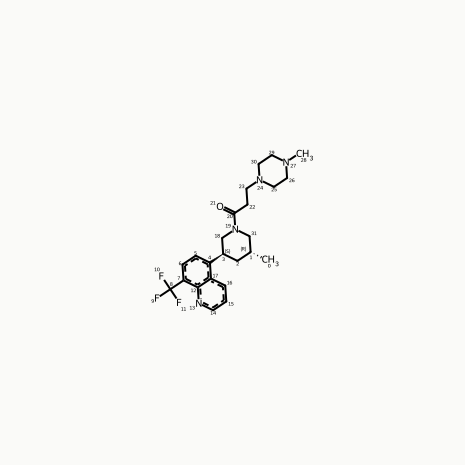 C[C@@H]1C[C@@H](c2ccc(C(F)(F)F)c3ncccc23)CN(C(=O)CCN2CCN(C)CC2)C1